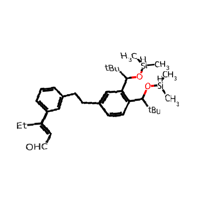 CCC(=CC=O)c1cccc(CCc2ccc(C(O[SiH](C)C)C(C)(C)C)c(C(O[SiH](C)C)C(C)(C)C)c2)c1